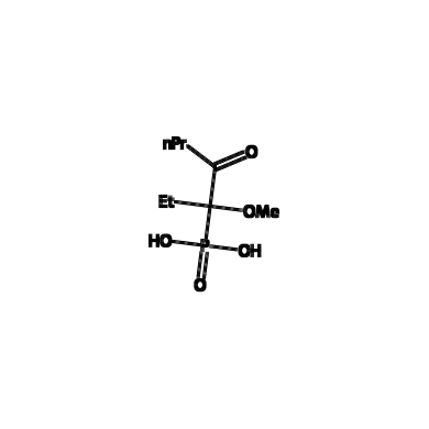 CCCC(=O)C(CC)(OC)P(=O)(O)O